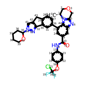 C[C@@H]1COCc2nc3cc(C(=O)Nc4ccc(OC(F)(F)Cl)cc4)cc(-c4ccc5c(c4)-c4nn(C6CCCCO6)cc4C5)c3n21